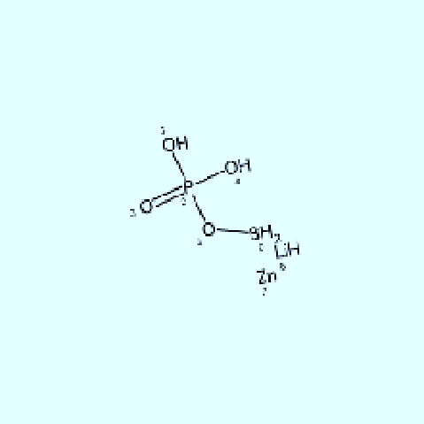 BOP(=O)(O)O.[LiH].[Zn]